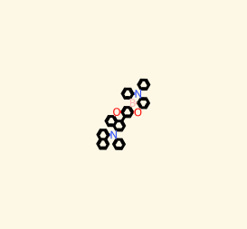 c1ccc(N2c3ccccc3B3c4cc5c(cc4Oc4cccc2c43)-c2ccc(N(c3ccccc3)c3cccc4ccccc34)c3cccc(c23)O5)cc1